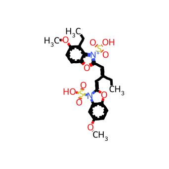 CCC(=Cc1oc2ccc(OC)c(CC)c2[n+]1S(=O)(=O)O)C=C1Oc2ccc(OC)cc2N1S(=O)(=O)O